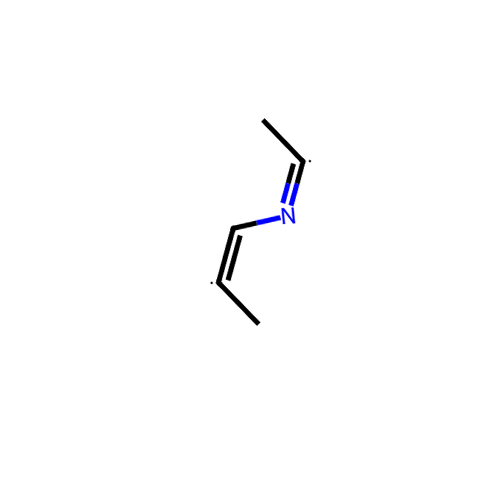 C/[C]=C\N=[C]/C